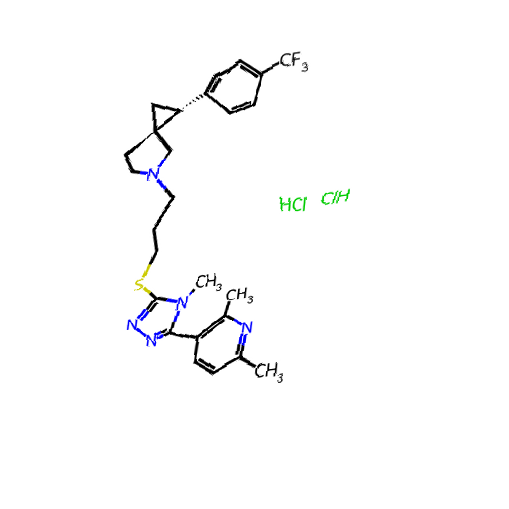 Cc1ccc(-c2nnc(SCCCN3CC[C@]4(C[C@@H]4c4ccc(C(F)(F)F)cc4)C3)n2C)c(C)n1.Cl.Cl